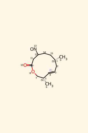 C[C@@H]1C/C=C/[C@H](C)COC(=O)CC(N=O)CC1